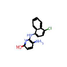 Nc1ccc(O)nc1Nc1ccc(Cl)c2ccccc12